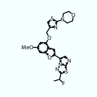 COc1cc(OCc2csc(N3CCOCC3)n2)c2cc(-c3cnc4sc(C(C)F)nn34)oc2c1